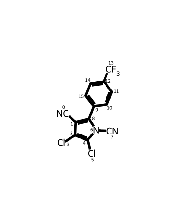 N#Cc1c(Cl)c(Cl)n(C#N)c1-c1ccc(C(F)(F)F)cc1